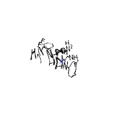 Cc1cccc(N/C(=N/C(=N)N[C@@H]2CCCC(F)(F)[C@@H]2N)C(=N)C(N)=O)c1